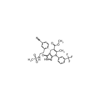 COC(=O)C1=C(C)N(c2cccc(C(F)(F)F)c2)c2n[nH]c(=O)n2[C@@H]1c1ccc(C#N)cc1CCNS(C)(=O)=O